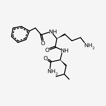 CC(C)C[C@H](NC(=O)[C@H](CCCN)NC(=O)Cc1ccccc1)C(N)=O